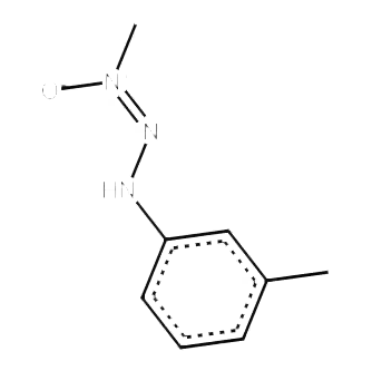 Cc1cccc(NN=[N+](C)[O-])c1